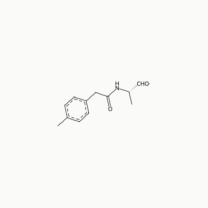 Cc1ccc(CC(=O)N[C@@H](C)[C]=O)cc1